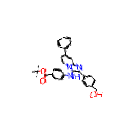 CC(C)(C)OC(=O)c1ccc(Nc2c(-c3ccc(CO)cc3)nc3cc(-c4ccccc4)ccn23)cc1